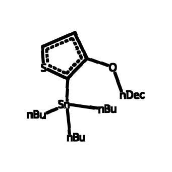 CCCCCCCCCCOc1ccs[c]1[Sn]([CH2]CCC)([CH2]CCC)[CH2]CCC